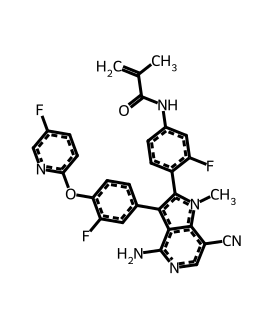 C=C(C)C(=O)Nc1ccc(-c2c(-c3ccc(Oc4ccc(F)cn4)c(F)c3)c3c(N)ncc(C#N)c3n2C)c(F)c1